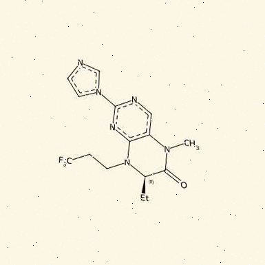 CC[C@@H]1C(=O)N(C)c2cnc(-n3ccnc3)nc2N1CCC(F)(F)F